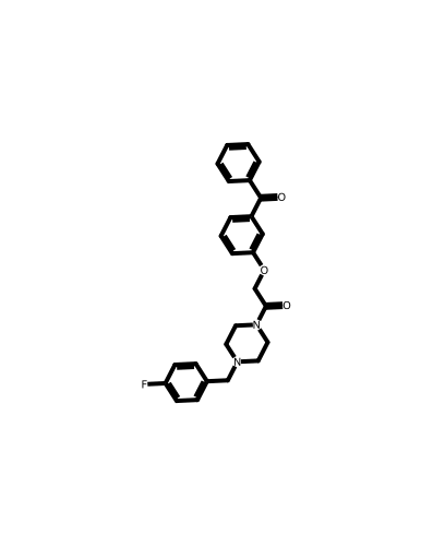 O=C(c1ccccc1)c1cccc(OCC(=O)N2CCN(Cc3ccc(F)cc3)CC2)c1